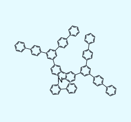 c1ccc(-c2ccc(-c3cc(-c4ccc(-c5ccccc5)cc4)cc(-c4ccc5c(c4)c4cc(-c6cc(-c7ccc(-c8ccccc8)cc7)cc(-c7ccc(-c8ccccc8)cc7)c6)ccc4n5-c4ccccc4-c4ccccc4)c3)cc2)cc1